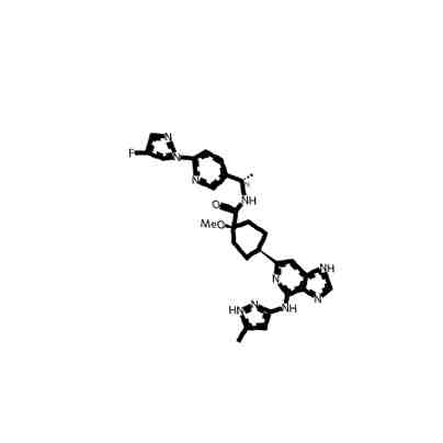 CO[C@]1(C(=O)N[C@@H](C)c2ccc(-n3cc(F)cn3)nc2)CC[C@H](c2cc3[nH]cnc3c(Nc3cc(C)[nH]n3)n2)CC1